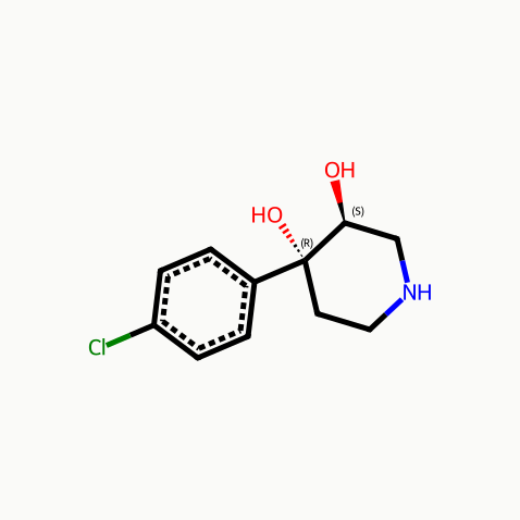 O[C@H]1CNCC[C@@]1(O)c1ccc(Cl)cc1